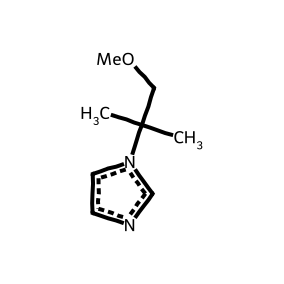 COCC(C)(C)n1ccnc1